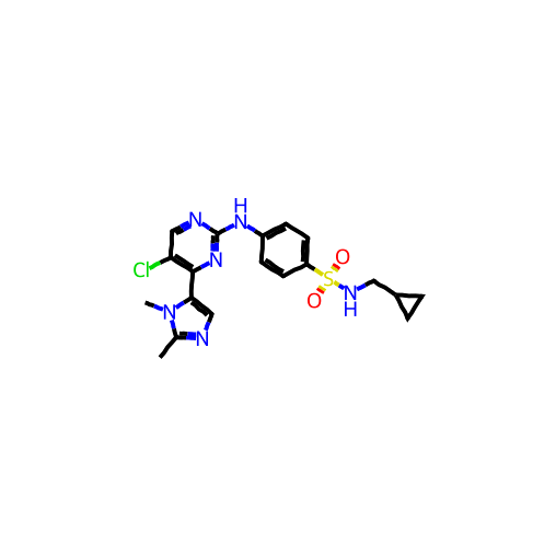 Cc1ncc(-c2nc(Nc3ccc(S(=O)(=O)NCC4CC4)cc3)ncc2Cl)n1C